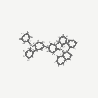 c1ccc(-c2ccc3ccccc3c2-n2c3ccccc3c3cc(-c4ccc5c(c4)c4ccccc4n5-c4ccccc4)ccc32)cc1